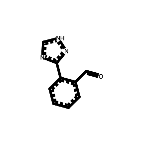 O=Cc1ccccc1-c1nc[nH]n1